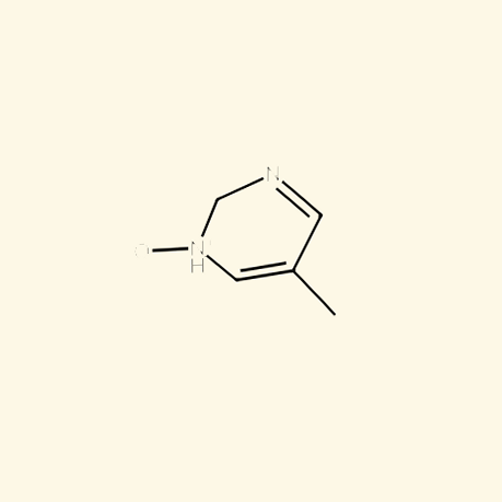 CC1=C[NH+]([O-])CN=C1